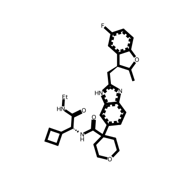 CCNC(=O)[C@H](NC(=O)C1(c2ccc3nc(C[C@H]4c5cc(F)ccc5OC4C)[nH]c3c2)CCOCC1)C1CCC1